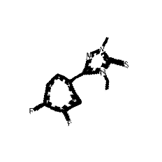 Cn1nc(-c2ccc(F)c(F)c2)n(C)c1=S